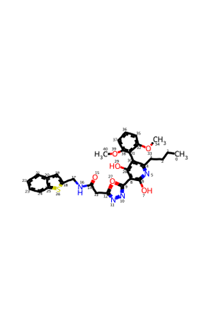 CCCCc1nc(O)c(-c2nnc(CC(=O)NCc3cc4ccccc4s3)o2)c(O)c1-c1c(OC)cccc1OC